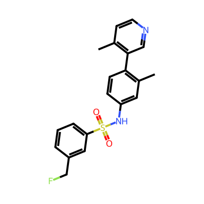 Cc1cc(NS(=O)(=O)c2cccc(CF)c2)ccc1-c1cnccc1C